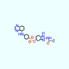 O=C(Nc1nc2cc(OS(=O)(=O)c3ccc(Nc4cccc5nccnc45)cc3)ccc2[nH]1)C1CC1